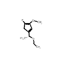 CCO[C@H](C)C1=CC(OC)=C(F)C1